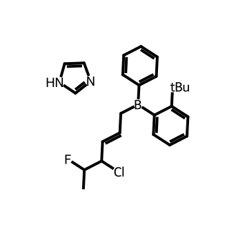 CC(F)C(Cl)C=CCB(c1ccccc1)c1ccccc1C(C)(C)C.c1c[nH]cn1